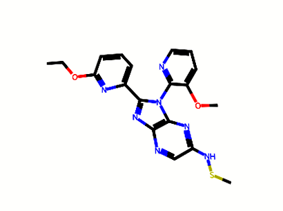 CCOc1cccc(-c2nc3ncc(NSC)nc3n2-c2ncccc2OC)n1